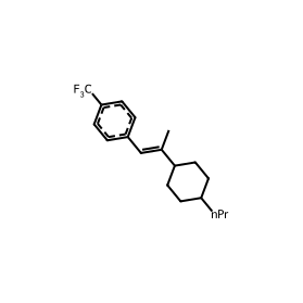 CCCC1CCC(C(C)=Cc2ccc(C(F)(F)F)cc2)CC1